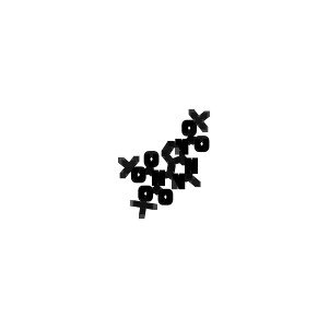 Cc1nc(N(C(=O)OC(C)(C)C)C(=O)OC(C)(C)C)c2ccn(C(=O)OC(C)(C)C)c2n1